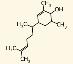 CC(C)=CCCC(C)C1C=C(C)C(O)C(C)C1